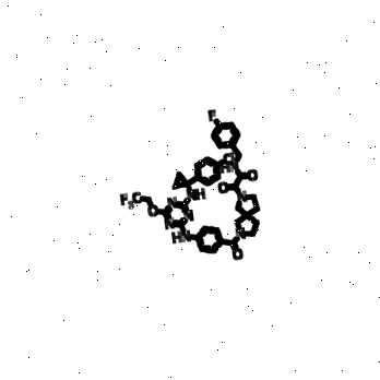 O=C(NCc1ccc(F)cc1)C(=O)N1CCC2(CCN(C(=O)c3ccc(Nc4nc(NC5(c6ccc(Cl)cc6)CC5)nc(OCC(F)(F)F)n4)cc3)C2)C1